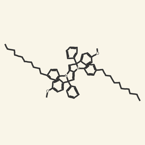 CCCCCCCCCCc1ccc(N2C3=CC(c4ccccc4)(c4ccc(OC)cc4)N(c4ccc(CCCCCCCCCC)cc4)C3=CC2(c2ccccc2)c2ccc(OC)cc2)cc1